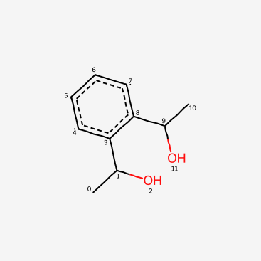 CC(O)c1[c]cc[c]c1C(C)O